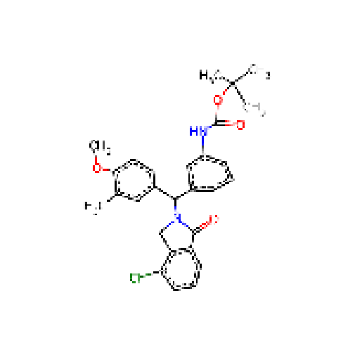 COc1ccc(C(c2cccc(NC(=O)OC(C)(C)C)c2)N2Cc3c(Cl)cccc3C2=O)cc1C